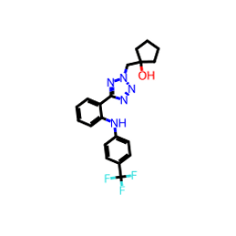 OC1(Cn2nnc(-c3ccccc3Nc3ccc(C(F)(F)F)cc3)n2)CCCC1